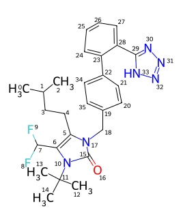 CC(C)CCc1c(C(F)F)n(C(C)(C)C)c(=O)n1Cc1ccc(-c2ccccc2-c2nnn[nH]2)cc1